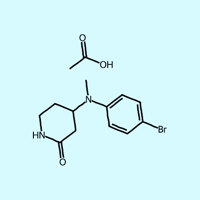 CC(=O)O.CN(c1ccc(Br)cc1)C1CCNC(=O)C1